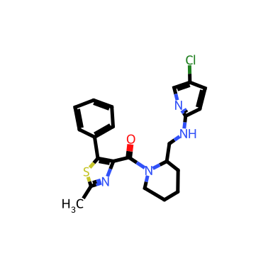 Cc1nc(C(=O)N2CCCCC2CNc2ccc(Cl)cn2)c(-c2ccccc2)s1